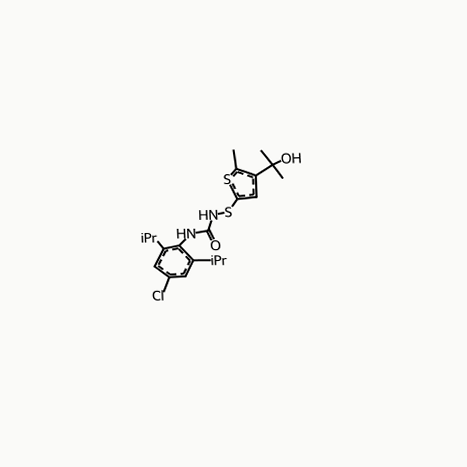 Cc1sc(SNC(=O)Nc2c(C(C)C)cc(Cl)cc2C(C)C)cc1C(C)(C)O